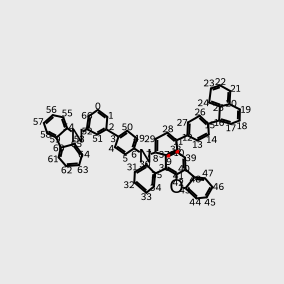 c1cc(-c2ccc(N(c3ccc(-c4ccc(-c5cccc6ccccc56)cc4)cc3)c3ccccc3-c3cccc4c3oc3ccccc34)cc2)cc(-n2c3ccccc3c3ccccc32)c1